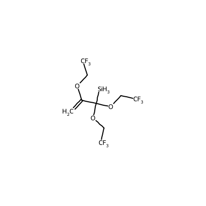 C=C(OCC(F)(F)F)C([SiH3])(OCC(F)(F)F)OCC(F)(F)F